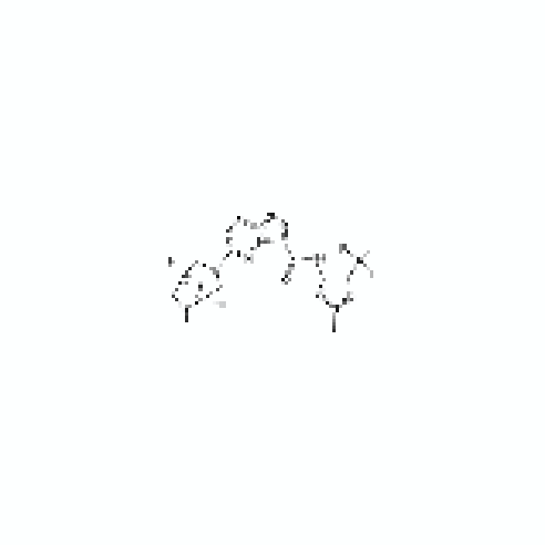 Cn1cc(NC(=O)c2ccc3ccc(N4C[C@@H]5CN[C@@H](C5)C4)nn23)c(C(F)(F)F)n1